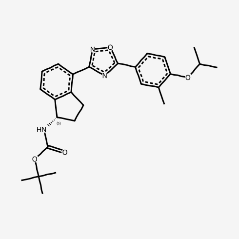 Cc1cc(-c2nc(-c3cccc4c3CC[C@@H]4NC(=O)OC(C)(C)C)no2)ccc1OC(C)C